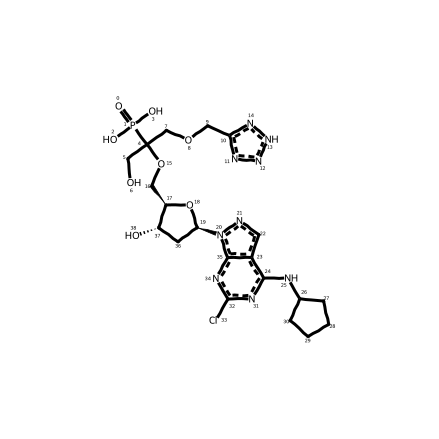 O=P(O)(O)C(CO)(COCc1nn[nH]n1)OC[C@H]1O[C@@H](n2ncc3c(NC4CCCC4)nc(Cl)nc32)C[C@@H]1O